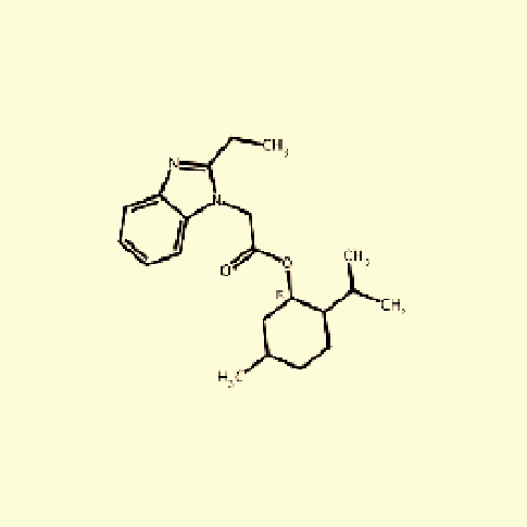 CCc1nc2ccccc2n1CC(=O)O[C@@H]1CC(C)CCC1C(C)C